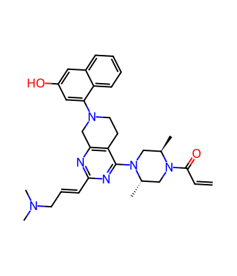 C=CC(=O)N1C[C@H](C)N(c2nc(/C=C/CN(C)C)nc3c2CCN(c2cc(O)cc4ccccc24)C3)C[C@H]1C